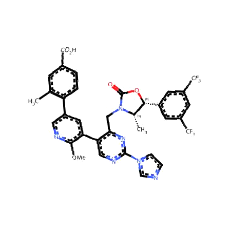 COc1ncc(-c2ccc(C(=O)O)cc2C)cc1-c1cnc(-n2ccnc2)nc1CN1C(=O)O[C@H](c2cc(C(F)(F)F)cc(C(F)(F)F)c2)[C@@H]1C